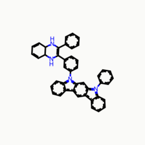 C1=CC2NC(c3ccccc3)=C(c3cccc(-n4c5ccccc5c5cc6c7ccccc7n(-c7ccccc7)c6cc54)c3)NC2C=C1